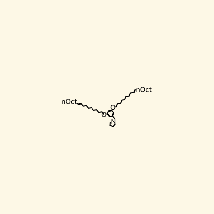 CCCCCCCCC=CCCCCCCCCOc1cc(CN2CCCC2)cc(OCCCCCCCCC=CCCCCCCCC)c1